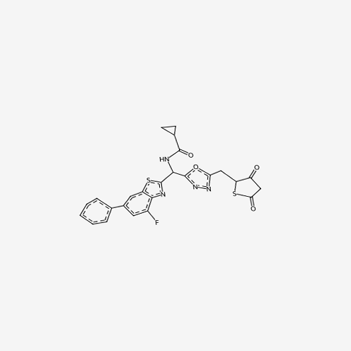 O=C1CC(=O)C(Cc2nnc(C(NC(=O)C3CC3)c3nc4c(F)cc(-c5ccccc5)cc4s3)o2)S1